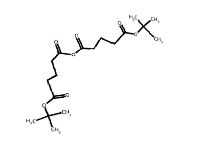 CC(C)(C)OC(=O)CCCC(=O)OC(=O)CCCC(=O)OC(C)(C)C